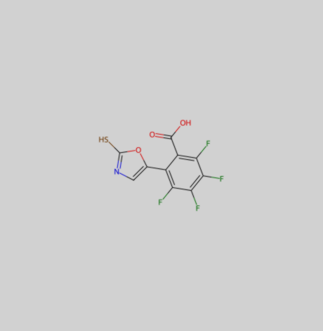 O=C(O)c1c(F)c(F)c(F)c(F)c1-c1cnc(S)o1